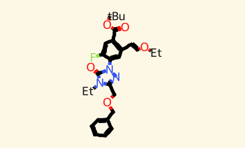 CCO/C=C/c1cc(-n2nc(COCc3ccccc3)n(CC)c2=O)c(F)cc1C(=O)OC(C)(C)C